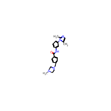 Cc1cnc(C)n1-c1cccc(NC(=O)c2ccc(CN3CCN(C)CC3)cc2)c1